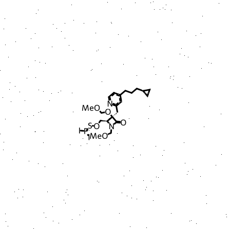 COCO[C@@]1(Cc2cc(CCCC3CC3)ccn2)C(=O)N(COC)[C@H]1COSP(I)I